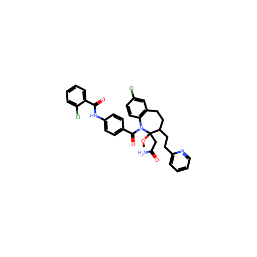 COC1(CC(N)=O)C(CCc2ccccn2)CCc2cc(Cl)ccc2N1C(=O)c1ccc(NC(=O)c2ccccc2Cl)cc1